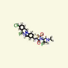 CC(C)N1CC(N2C(=O)S/C(=C\c3ccc4c(cnn4Cc4ccc(Cl)cc4CF)c3)C2=O)[C@@H](F)C1